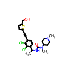 CC(NC(=O)N(C)C1CCN(C)CC1)c1ccc(C#Cc2ccc(CO)s2)c(Cl)c1Cl